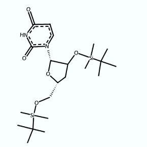 CC(C)(C)[Si](C)(C)OC[C@H]1CC(O[Si](C)(C)C(C)(C)C)[C@@H](n2ccc(=O)[nH]c2=O)O1